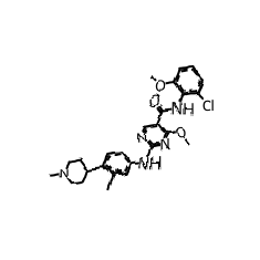 COc1cccc(Cl)c1NC(=O)c1cnc(Nc2ccc(C3CCN(C)CC3)c(C)c2)nc1OC